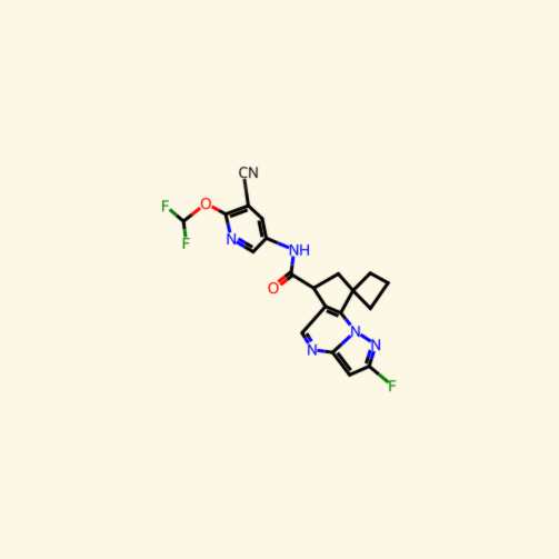 N#Cc1cc(NC(=O)C2CC3(CCC3)c3c2cnc2cc(F)nn32)cnc1OC(F)F